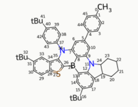 Cc1ccc(-c2cc3c4c(c2)N2c5c(cc(C(C)(C)C)cc5C5CCCCC52)B4c2sc4ccc(C(C)(C)C)cc4c2N3c2ccc(C(C)(C)C)cc2)cc1